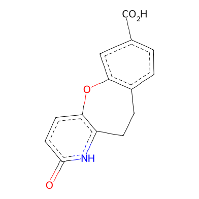 O=C(O)c1ccc2c(c1)Oc1ccc(=O)[nH]c1CC2